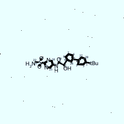 CC(C)(C)c1ccc(-c2cccc(C(O)C(=O)Nc3cnc(S(=O)(=O)CN)nc3)c2)cc1